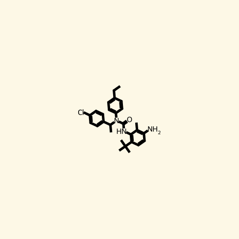 CCc1ccc(N(C(=O)Nc2c(C(C)(C)C)ccc(N)c2C)C(C)c2ccc(Cl)cc2)cc1